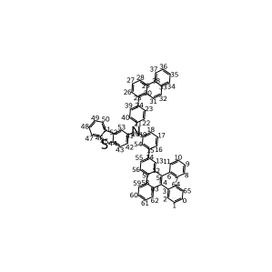 c1ccc(-c2c(-c3ccccc3)c3cc(-c4cccc(N(c5ccc(-c6cccc7c6ccc6ccccc67)cc5)c5ccc6sc7ccccc7c6c5)c4)ccc3c3ccccc23)cc1